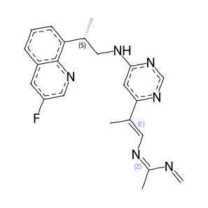 C=N/C(C)=N\C=C(/C)c1cc(NC[C@@H](C)c2cccc3cc(F)cnc23)ncn1